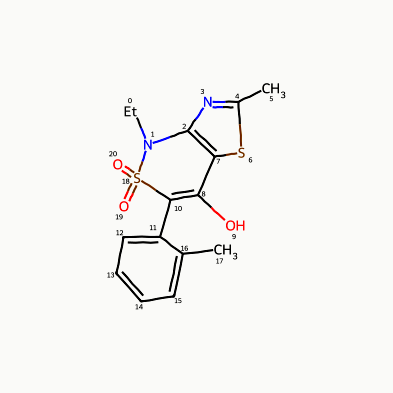 CCN1c2nc(C)sc2C(O)=C(c2ccccc2C)S1(=O)=O